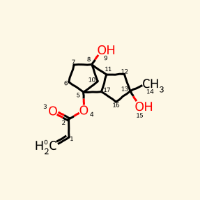 C=CC(=O)OC12CCC(O)(C1)C1CC(C)(O)CC12